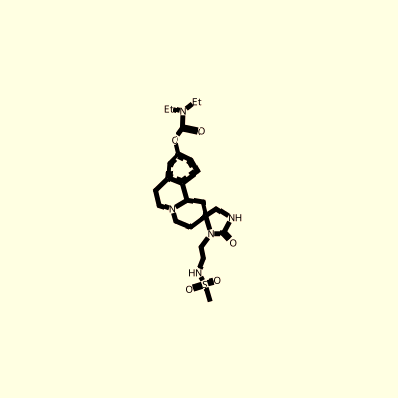 CCN(CC)C(=O)Oc1ccc2c(c1)CCN1CCC3(CNC(=O)N3CCNS(C)(=O)=O)CC21